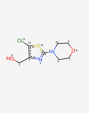 OCc1nc(N2CCOCC2)sc1Cl